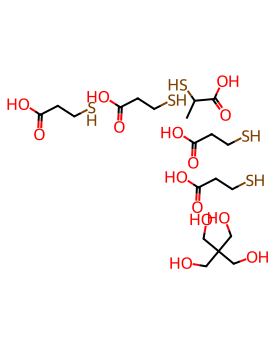 CC(S)C(=O)O.O=C(O)CCS.O=C(O)CCS.O=C(O)CCS.O=C(O)CCS.OCC(CO)(CO)CO